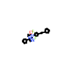 CC1(C)C(=O)N(c2c(F)cc(C#Cc3ccccc3)cc2F)c2ncc(-c3ccccc3)n21